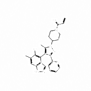 C=CC(=O)N1CCC(n2nc(-c3ccccn3)c(-c3c(Cl)c(C)cc4[nH]ncc34)c2C)CC1